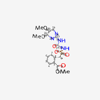 COC(=O)c1ccccc1CS(=O)(=O)NC(=O)Nc1ncc(OC)c(OC)n1